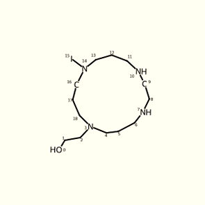 OCCN1CCCNCCNCCCN(I)CCC1